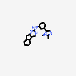 Cc1ncc(-c2cccc(Nc3ncc4c(n3)Cc3ccccc3-4)c2)n1C